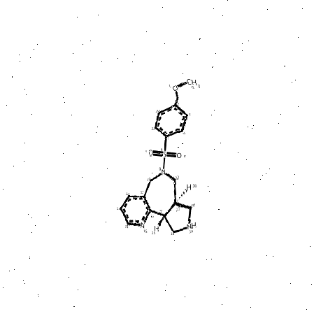 COc1ccc(S(=O)(=O)N2Cc3cccnc3[C@H]3CNC[C@@H]3C2)cc1